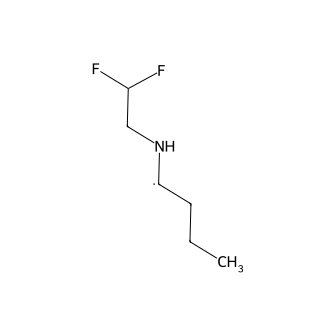 CCC[CH]NCC(F)F